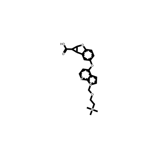 C[Si](C)(C)CCOCn1ccc2c(Oc3ccc4c(c3)C3C(O4)C3C(=O)O)ccnc21